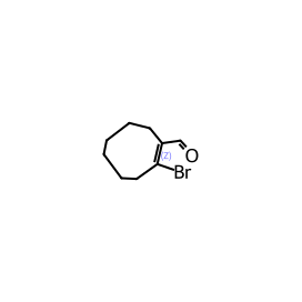 O=C/C1=C(\Br)CCCCCC1